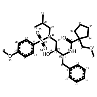 COCC1(C(=O)N[C@@H](Cc2ccccc2)[C@@H](O)CN(CC(C)C)S(=O)(=O)c2ccc(OC)cc2)CCCC1